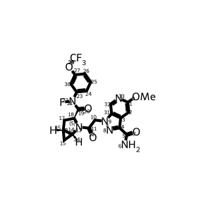 COc1cc2c(C(N)=O)nn(CC(=O)N3[C@@H]4C[C@@H]4C[C@H]3C(=O)N(F)c3cccc(OC(F)(F)F)c3)c2cn1